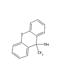 OC1(C(F)(F)F)c2ccccc2Sc2ccccc21